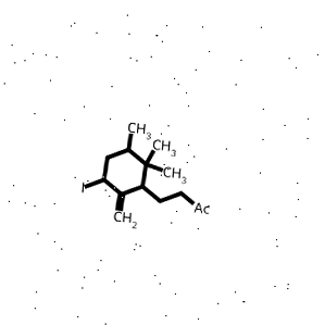 C=C1C(I)CC(C)C(C)(C)C1CCC(C)=O